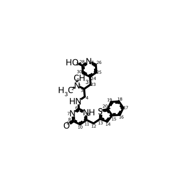 CN(C)C(CNc1nc(=O)cc(Cc2cc3ccccc3s2)[nH]1)Cc1ccnc(O)c1